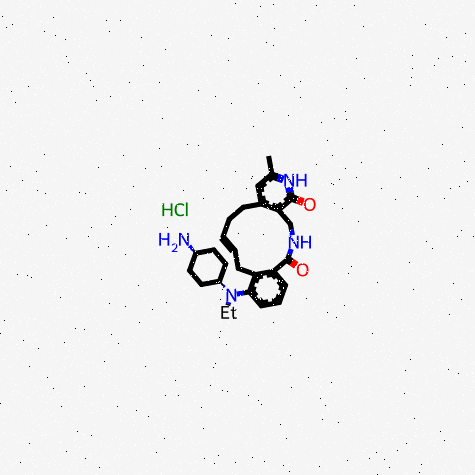 CCN(c1cccc2c1C/C=C/CCc1cc(C)[nH]c(=O)c1CNC2=O)[C@H]1CC[C@H](N)CC1.Cl